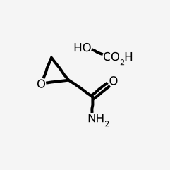 NC(=O)C1CO1.O=C(O)O